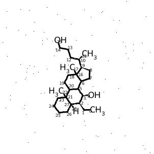 CC[C@@H]1[C@H](O)C2C3CC[C@H]([C@H](C)CCCO)C3(C)CCC2C2(C)CCCC[C@@H]12